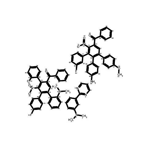 CN(C)c1cccc(-c2ncccn2)c1.CN(C)c1ccccc1-c1cc(C(=O)c2ccccc2)c(-c2ccccc2Cl)c([N+](=O)[O-])c1-c1ccc(F)cc1.COc1ccc(-c2cc(C(=O)c3ccccc3)c([N+](=O)[O-])c(-c3cccc(F)c3)c2-c2ccc(N)cc2)cc1